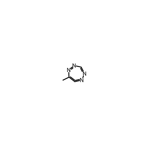 CC1=C=NN=CN=N1